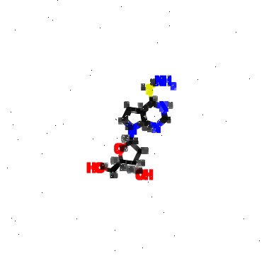 NSc1ncnc2c1ccn2[C@H]1C[C@H](O)[C@@H](CO)O1